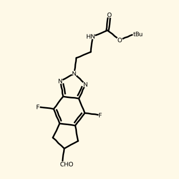 CC(C)(C)OC(=O)NCCn1nc2c(F)c3c(c(F)c2n1)CC(C=O)C3